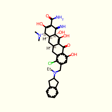 CCN(Cc1cc(O)c2c(c1Cl)C[C@H]1C[C@H]3[C@H](N(C)C)C(O)=C(C(N)=O)C(=N)[C@@]3(O)C(O)=C1C2=O)C1Cc2ccccc2C1